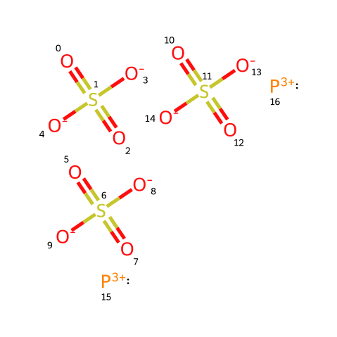 O=S(=O)([O-])[O-].O=S(=O)([O-])[O-].O=S(=O)([O-])[O-].[P+3].[P+3]